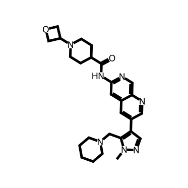 Cn1ncc(-c2cnc3cnc(NC(=O)C4CCN(C5COC5)CC4)cc3c2)c1CN1CCCCC1